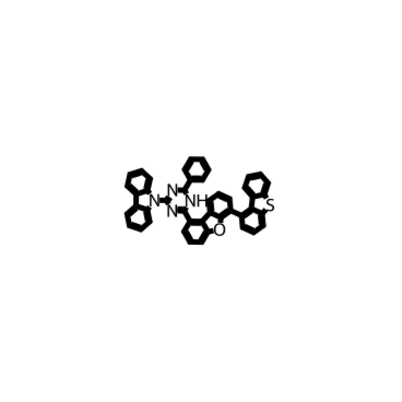 c1ccc(C2N=C(n3c4ccccc4c4ccccc43)N=C(c3cccc4oc5c(-c6cccc7sc8ccccc8c67)cccc5c34)N2)cc1